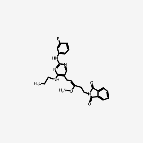 CCCNc1nc(Nc2cccc(F)c2)ncc1C/C=C(/CCN1C(=O)c2ccccc2C1=O)ON